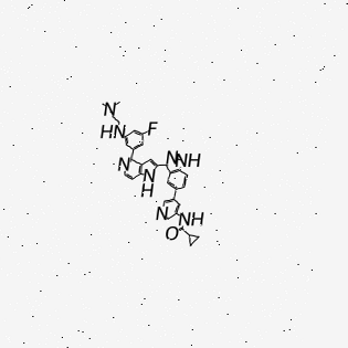 CN(C)CCNc1cc(F)cc(-c2nccc3[nH]c(-c4n[nH]c5ccc(-c6cncc(NC(=O)C7CC7)c6)cc45)cc23)c1